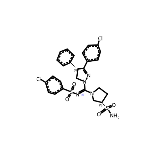 NS(=O)(=O)[C@H]1CCN(/C(=N/S(=O)(=O)c2ccc(Cl)cc2)N2C[C@H](c3ccccc3)C(c3ccc(Cl)cc3)=N2)C1